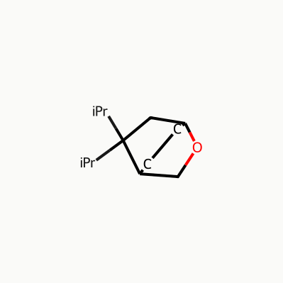 CC(C)C1(C(C)C)CC2CCC1CO2